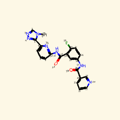 CC(C)n1cnnc1-c1cccc(NC(=O)c2cc(NC(=O)c3cccnc3)ccc2F)n1